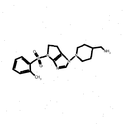 Cc1ccccc1S(=O)(=O)N1CCc2c1ncn2N1CCC(CN)CC1